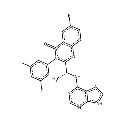 C[C@@H](Nc1ncnc2[nH]cnc12)c1nc2ccc(F)cc2c(=O)n1-c1cc(F)cc(F)c1